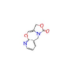 O=C1OCC2=COc3ncccc3CN12